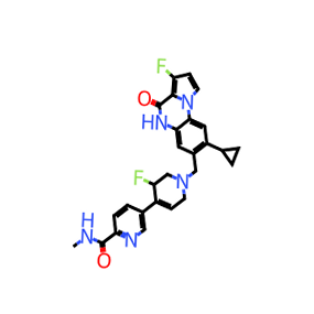 CNC(=O)c1ccc(C2=CCN(Cc3cc4[nH]c(=O)c5c(F)ccn5c4cc3C3CC3)CC2F)cn1